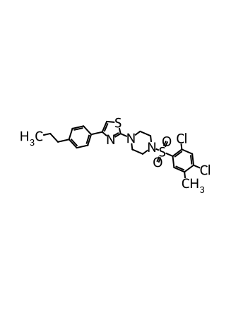 CCCc1ccc(-c2csc(N3CCN(S(=O)(=O)c4cc(C)c(Cl)cc4Cl)CC3)n2)cc1